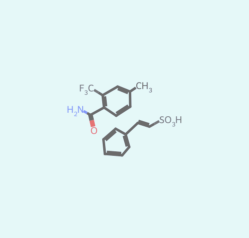 Cc1ccc(C(N)=O)c(C(F)(F)F)c1.O=S(=O)(O)C=Cc1ccccc1